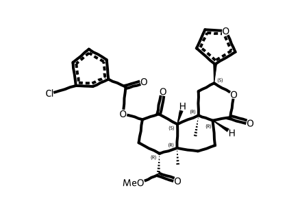 COC(=O)[C@@H]1CC(OC(=O)c2cccc(Cl)c2)C(=O)[C@H]2[C@@]1(C)CC[C@H]1C(=O)O[C@H](c3ccoc3)C[C@]21C